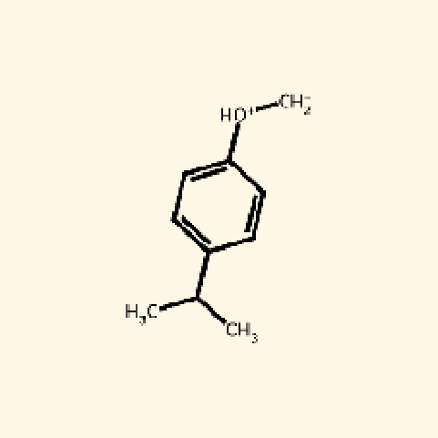 [CH2-][OH+]c1ccc(C(C)C)cc1